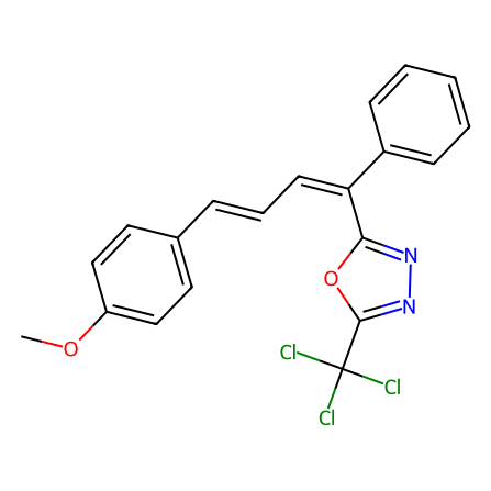 COc1ccc(C=CC=C(c2ccccc2)c2nnc(C(Cl)(Cl)Cl)o2)cc1